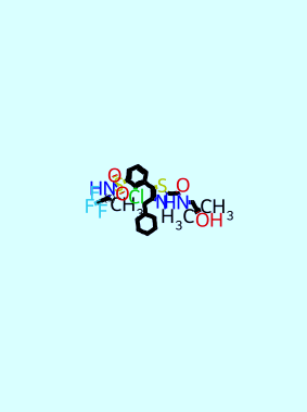 C[C@H](NS(=O)(=O)c1cccc(-c2sc(C(=O)NCC(C)(C)O)nc2CC2CCCCC2)c1Cl)C(F)(F)F